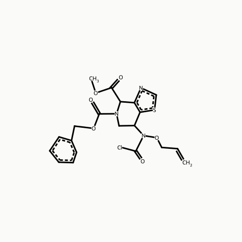 C=CCON(C(=O)Cl)C1CN(C(=O)OCc2ccccc2)C(C(=O)OC)c2ncsc21